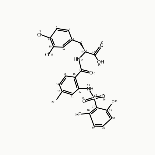 O=C(N[C@@H](Cc1ccc(Cl)c(Cl)c1)C(=O)O)c1ccc(I)cc1NS(=O)(=O)c1c(F)cccc1F